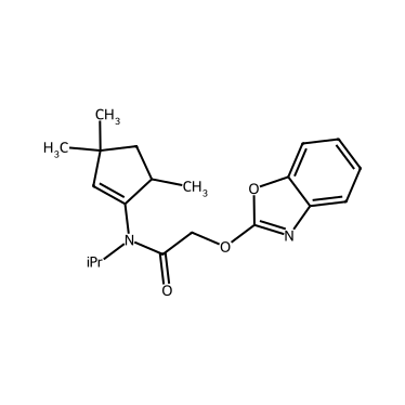 CC1CC(C)(C)C=C1N(C(=O)COc1nc2ccccc2o1)C(C)C